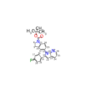 CC(C)(C)OC(=O)N1CCc2cc(-n3c(-c4ccc(F)cc4)cc4cccnc43)ccc21